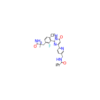 CC(C)C(=O)NCc1ccc(-c2cc(=O)[nH]c(-c3c(C(F)(F)F)ccc(CC(C)(C)C(N)=O)c3F)n2)nc1